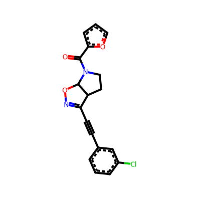 O=C(c1ccco1)N1CCC2C(C#Cc3cccc(Cl)c3)=NOC21